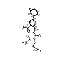 C=CCN(C(C)=O)C(=O)CNc1sc(-c2ccccc2)cc1C(N)=O